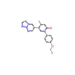 Cc1cc(=O)n(-c2ccc(OCF)cc2)cc1-c1cnc2nccn2c1